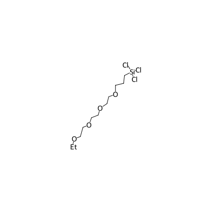 CCOCCOCCOCCOCCC[Si](Cl)(Cl)Cl